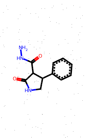 NNC(=O)C1C(=O)NCC1c1ccccc1